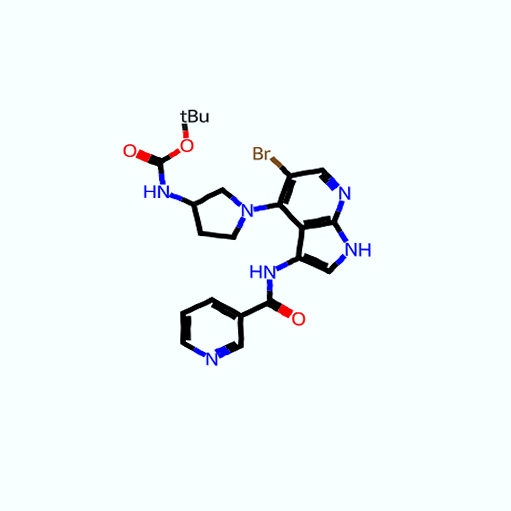 CC(C)(C)OC(=O)NC1CCN(c2c(Br)cnc3[nH]cc(NC(=O)c4cccnc4)c23)C1